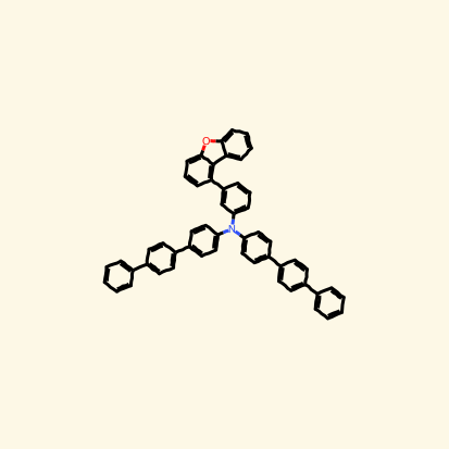 c1ccc(-c2ccc(-c3ccc(N(c4ccc(-c5ccc(-c6ccccc6)cc5)cc4)c4cccc(-c5cccc6oc7ccccc7c56)c4)cc3)cc2)cc1